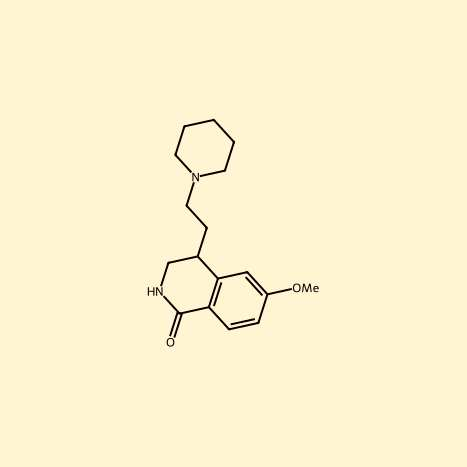 COc1ccc2c(c1)C(CCN1CCCCC1)CNC2=O